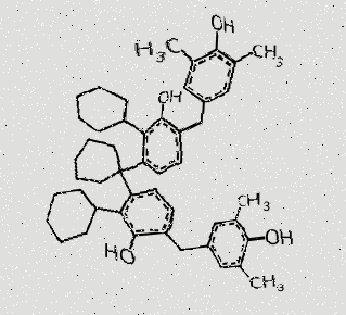 Cc1cc(Cc2ccc(C3(c4ccc(Cc5cc(C)c(O)c(C)c5)c(O)c4C4CCCCC4)CCCCC3)c(C3CCCCC3)c2O)cc(C)c1O